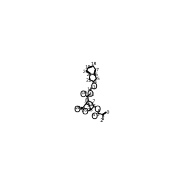 C=C(C)C(=O)OC1CC(C(=O)OCOC2Cc3ccccc3C2)C2CC1OC2=O